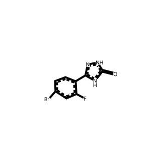 O=c1[nH]nc(-c2ccc(Br)cc2F)[nH]1